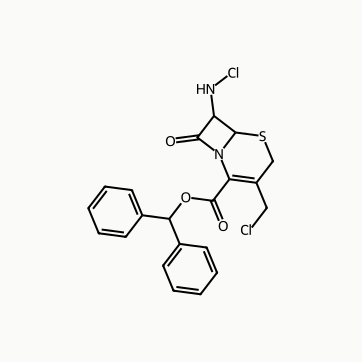 O=C(OC(c1ccccc1)c1ccccc1)C1=C(CCl)CSC2C(NCl)C(=O)N12